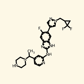 CC(c1ccnc(Nc2nc3cc(F)c(-c4cnn(CC5CC5(F)F)c4)cc3[nH]2)c1)N1CCNCC1